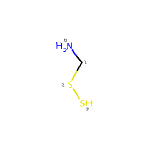 NCSS